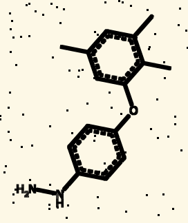 Cc1cc(C)c(C)c(Oc2ccc(NN)cc2)c1